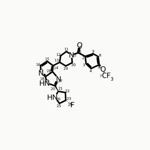 O=C(c1ccc(OC(F)(F)F)cc1)N1CCC(c2ccnc3[nH]c([C@H]4C[C@H](F)CN4)nc23)CC1